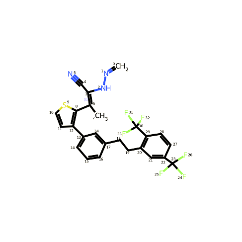 C=NN/C(C#N)=C(\C)c1sccc1-c1cccc(CCc2cc(C(F)(F)F)ccc2C(F)(F)F)c1